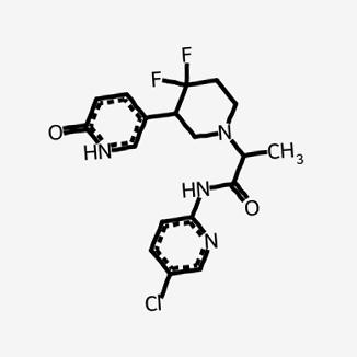 CC(C(=O)Nc1ccc(Cl)cn1)N1CCC(F)(F)C(c2ccc(=O)[nH]c2)C1